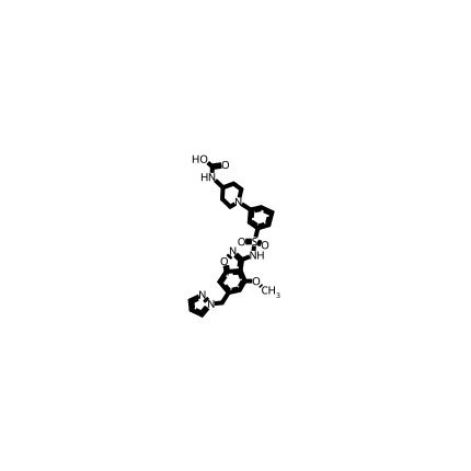 COc1cc(Cn2cccn2)cc2onc(NS(=O)(=O)c3cccc(N4CCC(NC(=O)O)CC4)c3)c12